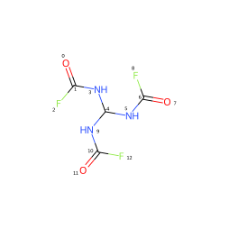 O=C(F)N[C](NC(=O)F)NC(=O)F